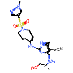 C[C@H](CO)Nc1nc(NC2CCN(S(=O)(=O)c3cnn(C)c3)CC2)ncc1C#N